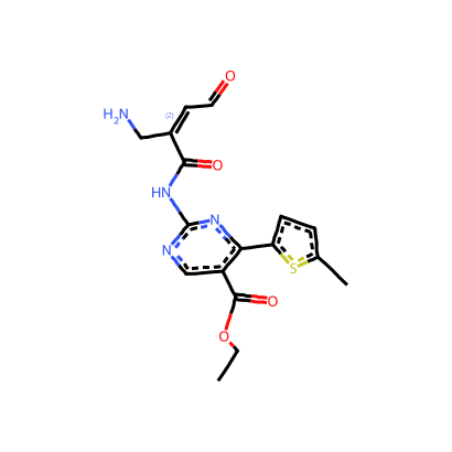 CCOC(=O)c1cnc(NC(=O)/C(=C\C=O)CN)nc1-c1ccc(C)s1